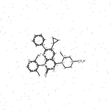 Cc1ccnc(C(C)C)c1-n1c(=O)nc(N2CCN(C(=O)O)C[C@@H]2C)c2cc(C3CC3)c(-c3ccccc3)nc21